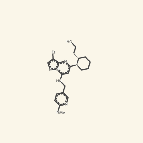 CCc1cnn2c(NCc3ccc(NC)nc3)cc(N3CCCC[C@H]3CCO)nc12